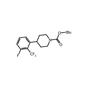 CC(C)(C)OC(=O)N1CCC(c2cccc(F)c2C(F)(F)F)CC1